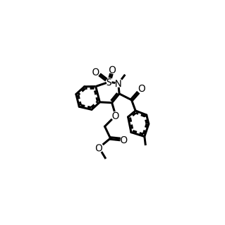 COC(=O)COC1=C(C(=O)c2ccc(C)cc2)N(C)S(=O)(=O)c2ccccc21